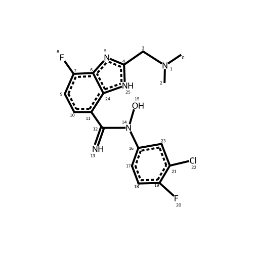 CN(C)Cc1nc2c(F)ccc(C(=N)N(O)c3ccc(F)c(Cl)c3)c2[nH]1